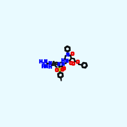 CC(=O)N(C)[C@@](CCCNC(=N)N)(C(=O)NCN1CCN(c2ccccc2)C(=O)C(CC(=O)OCc2ccccc2)C1=O)S(=O)(=O)c1ccc(C)cc1